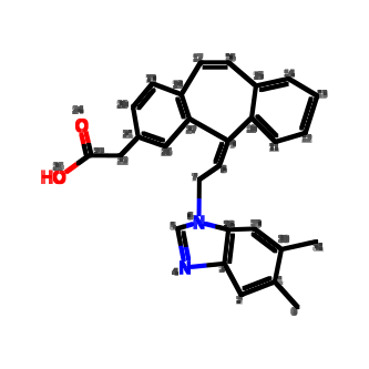 Cc1cc2ncn(CC=C3c4ccccc4C=Cc4ccc(CC(=O)O)cc43)c2cc1C